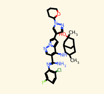 CC1CC2CC(CC(C)(O)C2)C1Nc1c(/C(N)=N/c2cc(F)ccc2Cl)cnn2cc(-c3cnn(C4CCCCO4)c3)cc12